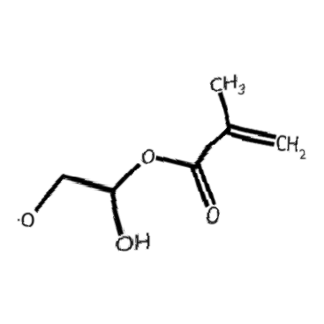 C=C(C)C(=O)OC(O)C[O]